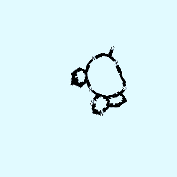 O=C1\C=N/C=c2/cccc/c2=N/c2ncnc3ccc(cc23)OC/C=N\1